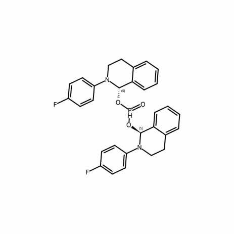 O=[PH](O[C@H]1c2ccccc2CCN1c1ccc(F)cc1)O[C@H]1c2ccccc2CCN1c1ccc(F)cc1